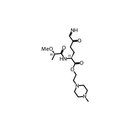 CO[C@H](C)C(=O)N[C@@H](CCC(=O)C=N)C(=O)OCCN1CCN(C)CC1